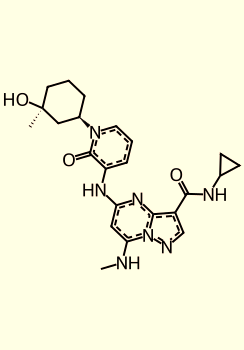 CNc1cc(Nc2cccn([C@@H]3CCC[C@](C)(O)C3)c2=O)nc2c(C(=O)NC3CC3)cnn12